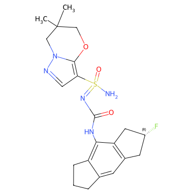 CC1(C)COc2c(S(N)(=O)=NC(=O)Nc3c4c(cc5c3C[C@H](F)C5)CCC4)cnn2C1